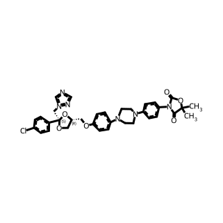 CC1(C)OC(=O)N(c2ccc(N3CCN(c4ccc(OC[C@@H]5CO[C@@](Cn6cncn6)(c6ccc(Cl)cc6)O5)cc4)CC3)cc2)C1=O